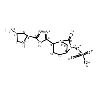 N[C@H]1CN[C@H](c2nnc(C3CCC4CN3C(=O)N4OS(=O)(=O)O)o2)C1